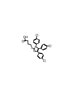 O=C(O)CCCSc1nc(-c2ccc(Cl)cc2)c(-c2ccc(Cl)cc2)n1-c1ccc(Cl)cc1